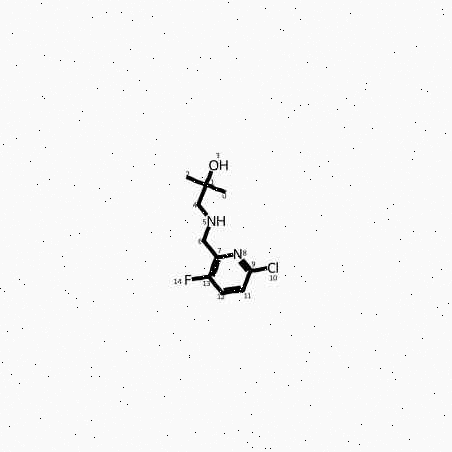 CC(C)(O)CNCc1nc(Cl)ccc1F